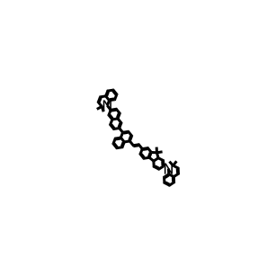 CC1(C)c2cc(/C=C/c3ccc(-c4ccc5cc(N6c7ccccc7C=CC6(C)C)ccc5c4)c4ccccc34)ccc2C2C=CC(N3c4ccccc4C=CC3(C)C)=CC21